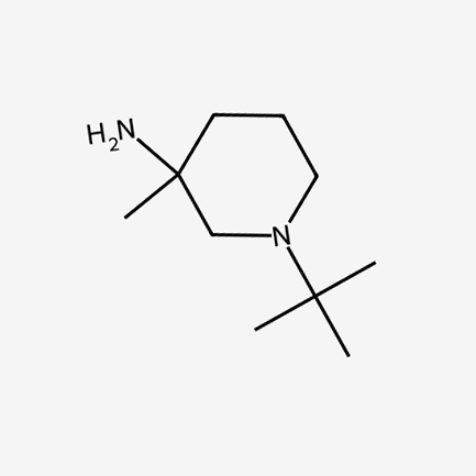 CC1(N)CCCN(C(C)(C)C)C1